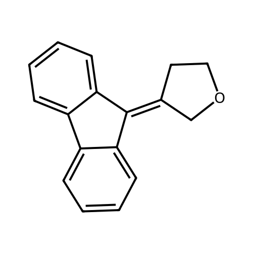 c1ccc2c(c1)C(=C1CCOC1)c1ccccc1-2